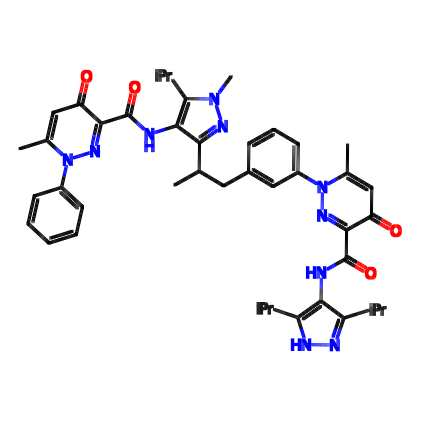 Cc1cc(=O)c(C(=O)Nc2c(C(C)C)n[nH]c2C(C)C)nn1-c1cccc(CC(C)c2nn(C)c(C(C)C)c2NC(=O)c2nn(-c3ccccc3)c(C)cc2=O)c1